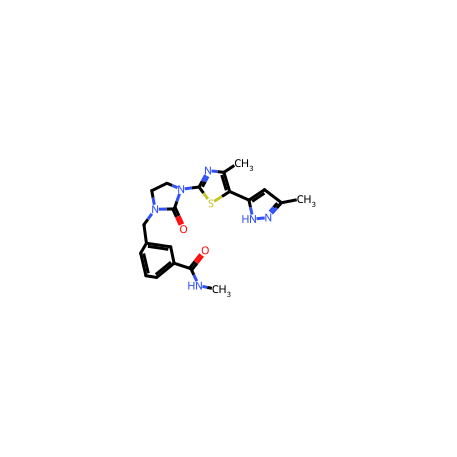 CNC(=O)c1cccc(CN2CCN(c3nc(C)c(-c4cc(C)n[nH]4)s3)C2=O)c1